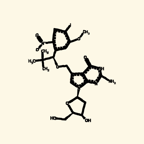 COc1cc([C@@H](OCc2cn([C@H]3C[C@@H](O)[C@@H](CO)O3)c3nc(N)[nH]c(=O)c23)C(C)(C)C)c([N+](=O)[O-])cc1I